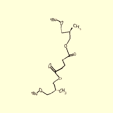 C[C@@H](COC(=O)CCC(=O)OC[C@H](C)COC(C)(C)C)COC(C)(C)C